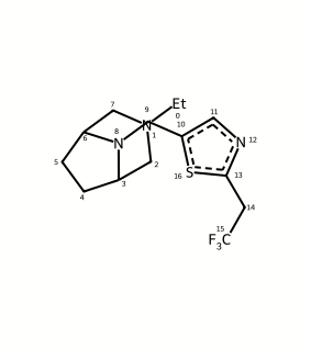 CCN1CC2CCC(C1)N2Cc1cnc(CC(F)(F)F)s1